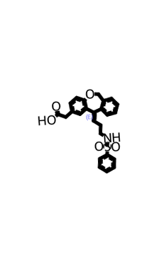 O=C(O)Cc1ccc2c(c1)/C(=C/CCNS(=O)(=O)c1ccccc1)c1ccccc1CO2